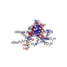 CCCCCCCCCCCCCCCC(=O)N(C(=O)CCCCCCCCCCCCCCC)[C@@H](CSCC(O)CO)C(=O)NCC(=O)N[C@@H](CC(N)=O)C(=O)N[C@@H](CC(N)=O)C(=O)N[C@@H](CC(=O)O)C(=O)N[C@@H](CCC(=O)O)C(=O)N[C@@H](CO)C(=O)N[C@@H](CC(N)=O)C(=O)N[C@H](C(=O)N[C@@H](CO)C(=O)N[C@@H](Cc1ccccc1)C(=O)N[C@@H](CCCCN)C(=O)N[C@@H](CCC(=O)O)C(=O)N[C@@H](CCCCN)C(=O)O)[C@@H](C)CC